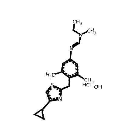 CCN(C)C=Nc1cc(C)c(Cc2nc(C3CC3)cs2)c(C)c1.Cl.Cl